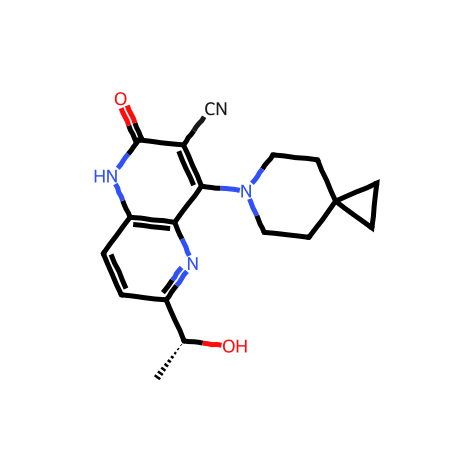 C[C@@H](O)c1ccc2[nH]c(=O)c(C#N)c(N3CCC4(CC3)CC4)c2n1